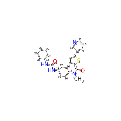 CN(C(=O)c1ccc(-c2cccnc2)s1)c1ccc(NC(=O)Nc2ccccc2)cc1